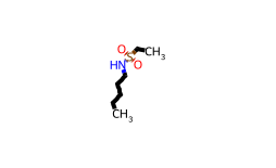 CCCCCNS(=O)(=O)CC